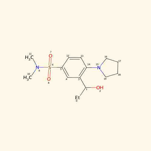 CCC(O)c1cc(S(=O)(=O)N(C)C)ccc1N1CCCC1